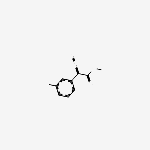 COC(=O)C(=[N+]=[N-])c1cccc(C)c1